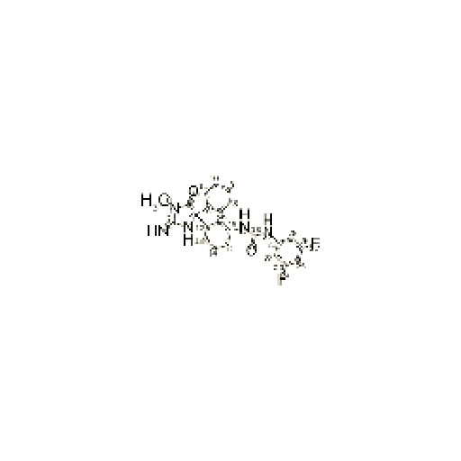 CN1C(=N)NC(c2ccccc2)(c2cccc(NC(=O)Nc3cc(F)cc(F)c3)c2)C1=O